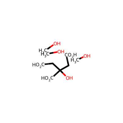 CO.CO.CO.O=C(O)CC(O)(CC(=O)O)C(=O)O